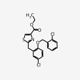 CCOC(=O)c1csc(Cc2cc(Cl)ccc2OCc2ccccc2Cl)n1